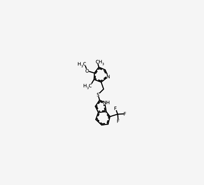 COc1c(C)cnc(CSc2cc3cccc(C(F)(F)F)c3[nH]2)c1C